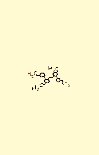 C=Cc1cccc(-c2cc(C=C)ccc2CCc2ccc(C=C)cc2-c2cccc(C=C)c2)c1